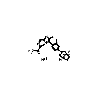 Cc1nc2cnc(C(N)=O)cn2c1-c1ccc(N2C[C@H]3CC[C@@H](C2)N3)cc1F.Cl